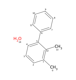 Cc1cccc(-c2ccccc2)c1C.O